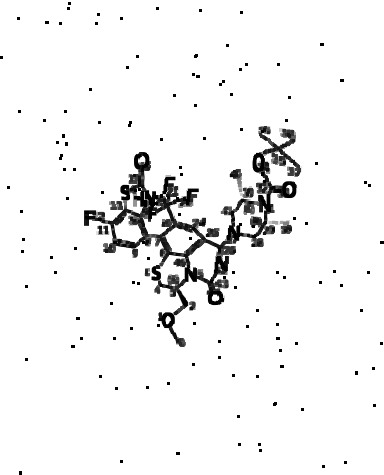 COC[C@H]1CSc2c(-c3ccc(F)c4sc(=O)[nH]c34)c(C(F)(F)F)cc3c(N4C[C@@H](C)N(C(=O)OC(C)(C)C)[C@@H](C)C4)nc(=O)n1c23